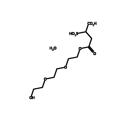 O.O=C(CC(C(=O)O)S(=O)(=O)O)OCCOCCOCCO